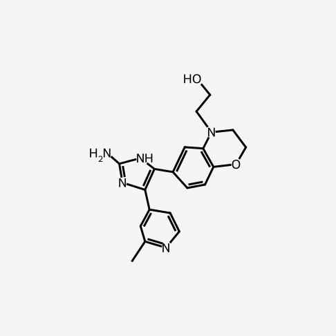 Cc1cc(-c2nc(N)[nH]c2-c2ccc3c(c2)N(CCO)CCO3)ccn1